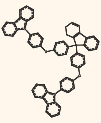 C1=CC2=C(CC1)C(c1ccc(Oc3ccc(-n4c5ccccc5c5ccccc54)cc3)cc1)(c1ccc(Oc3ccc(-n4c5ccccc5c5ccccc54)cc3)cc1)c1ccccc12